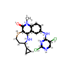 Cn1c(=O)c2c(c3cc(Nc4nc(Cl)ncc4Cl)ccc31)NC(C1CC1)CCS2